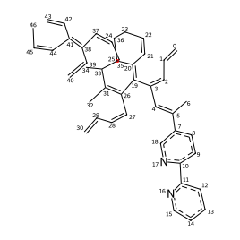 C=CC=C(/C=C(\C)c1ccc(-c2ccccn2)nc1)C(=C1C=CCCC1)C(/C=C\C=C)=C(/C)C(C)C\C=C/C(C=C)=C(C=C)/C=C\C